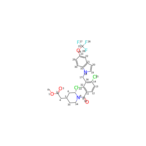 COC(=O)CC1CCN(C(=O)c2ccc(Cl)c(Cn3ccc4cc(OC(F)(F)F)ccc43)c2Cl)CC1